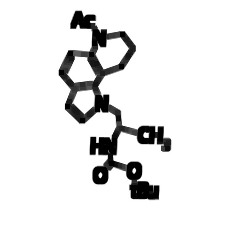 CC(=O)N1CCCc2c1ccc1ccn(CC(C)NC(=O)OC(C)(C)C)c21